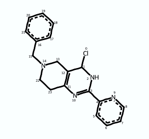 ClC1NC(c2ccccn2)=NC2=C1CN(Cc1ccccc1)CC2